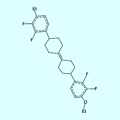 CCOc1ccc(C2CCC(=C3CCC(c4ccc(CC)c(F)c4F)CC3)CC2)c(F)c1F